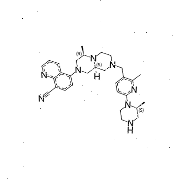 Cc1nc(N2CCNC[C@@H]2C)ccc1CN1CCN2[C@@H](C1)CN(c1ccc(C#N)c3ncccc13)C[C@H]2C